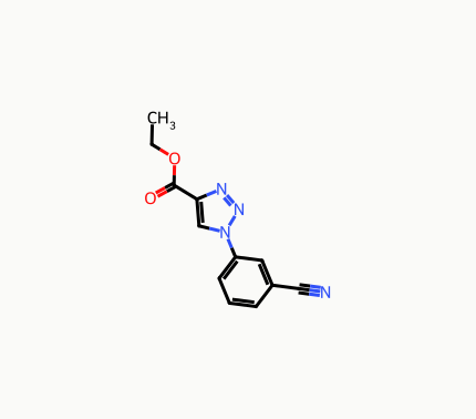 CCOC(=O)c1cn(-c2cccc(C#N)c2)nn1